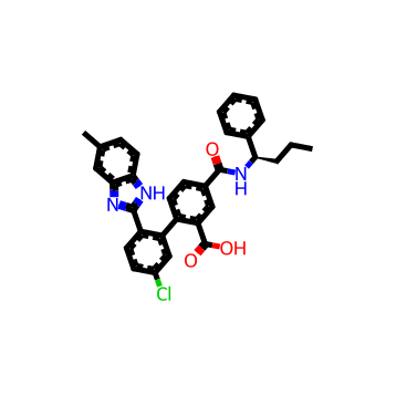 CCC[C@@H](NC(=O)c1ccc(-c2cc(Cl)ccc2-c2nc3cc(C)ccc3[nH]2)c(C(=O)O)c1)c1ccccc1